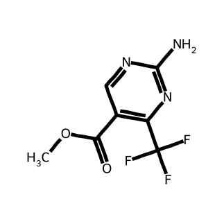 COC(=O)c1cnc(N)nc1C(F)(F)F